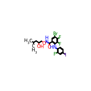 CC(C)CC(O)CONC(=O)c1cc(Br)c(F)c(F)c1Nc1ccc(I)cc1F